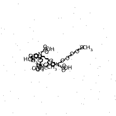 COCCOCCOCCOCCOCCN(CCCS(=O)(=O)O)c1ccc2c(c1)OC(/C=C/C=C1/N(CCCS(=O)(=O)O)c3ccc(S(=O)(=O)O)cc3C1(C)CCCC(=O)ON1C(=O)CCC1=O)C=C2C(C)(C)C